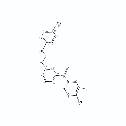 C=C(c1ccc(C#N)c(C)c1)c1cc(CCOc2ccc(C#N)cc2)ccn1